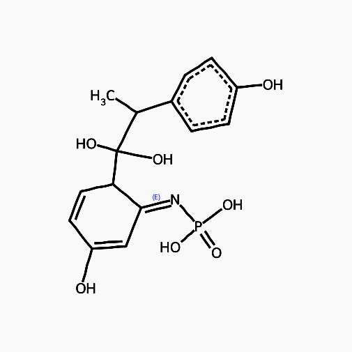 CC(c1ccc(O)cc1)C(O)(O)C1C=CC(O)=C/C1=N\P(=O)(O)O